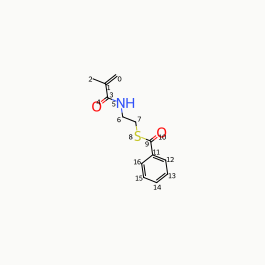 C=C(C)C(=O)NCCSC(=O)c1ccccc1